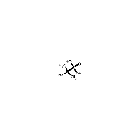 CC(C)(S)P(=O)(O)O